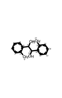 Oc1ccccc1C(O)C(O)c1ccccc1O